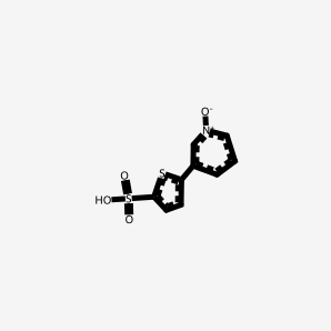 O=S(=O)(O)c1ccc(-c2ccc[n+]([O-])c2)s1